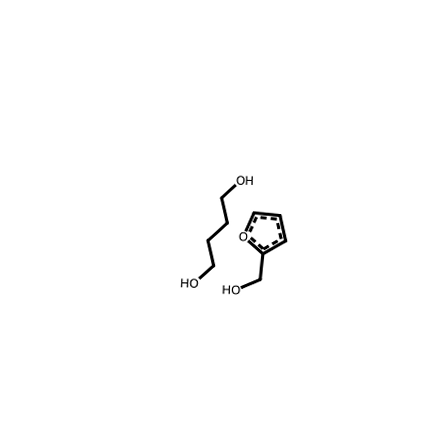 OCCCCO.OCc1ccco1